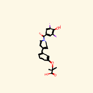 CC(C)(Oc1cccc(C2=CCN(C(=O)c3cc(I)c(O)c(I)c3)CC2)c1)C(=O)O